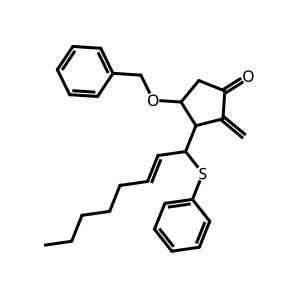 C=C1C(=O)CC(OCc2ccccc2)C1C(C=CCCCCC)Sc1ccccc1